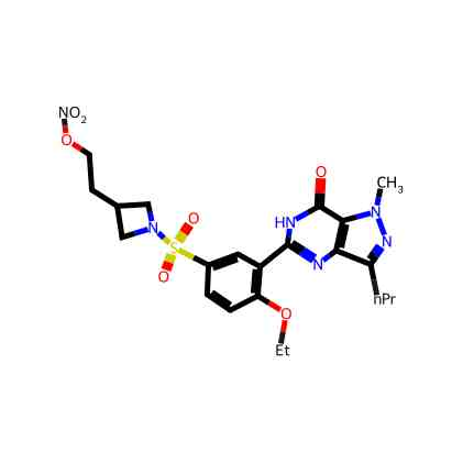 CCCc1nn(C)c2c(=O)[nH]c(-c3cc(S(=O)(=O)N4CC(CCO[N+](=O)[O-])C4)ccc3OCC)nc12